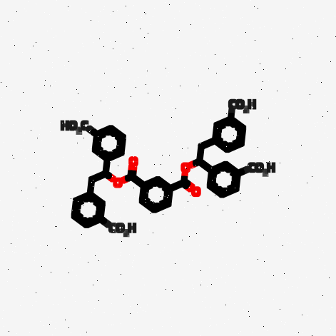 O=C(O)c1cccc(CC(OC(=O)c2cccc(C(=O)OC(Cc3cccc(C(=O)O)c3)c3cccc(C(=O)O)c3)c2)c2cccc(C(=O)O)c2)c1